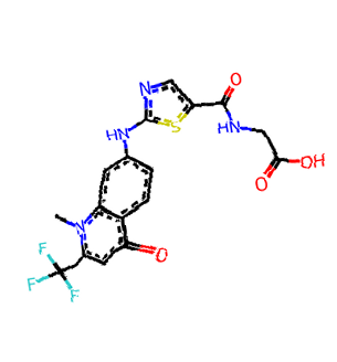 Cn1c(C(F)(F)F)cc(=O)c2ccc(Nc3ncc(C(=O)NCC(=O)O)s3)cc21